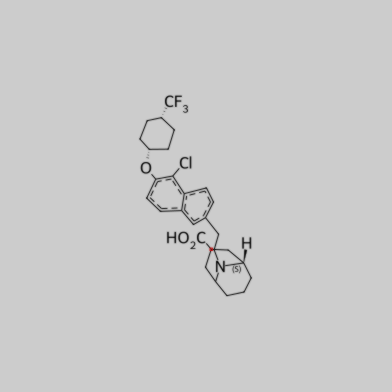 O=C(O)C1CC2CCC[C@@H](C1)N2CCc1ccc2c(Cl)c(O[C@H]3CC[C@@H](C(F)(F)F)CC3)ccc2c1